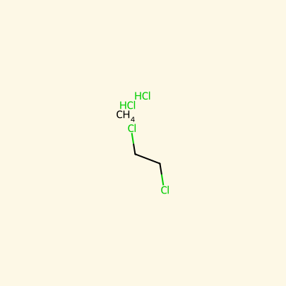 C.Cl.Cl.ClCCCl